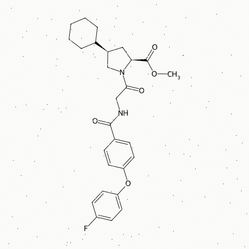 COC(=O)[C@@H]1C[C@H](C2CCCCC2)CN1C(=O)CNC(=O)c1ccc(Oc2ccc(F)cc2)cc1